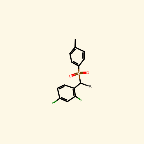 [C-]#[N+]C(c1ccc(F)cc1F)S(=O)(=O)c1ccc(C)cc1